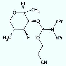 CCCN(CCC)P(OCCC#N)O[C@H]1[C@@H](F)[C@H](C)CO[C@]1(C)CC